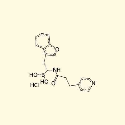 Cl.O=C(CCc1ccncc1)N[C@@H](Cc1coc2ccccc12)B(O)O